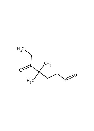 CCC(=O)C(C)(C)CCC=O